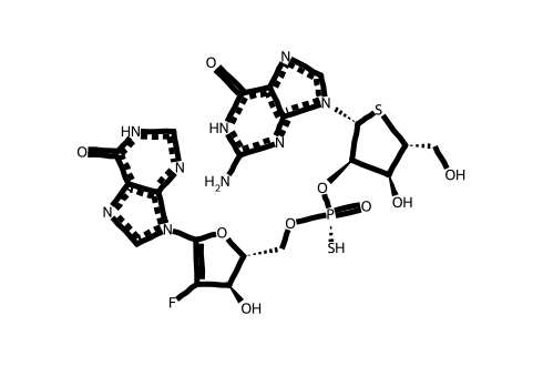 Nc1nc2c(ncn2[C@@H]2S[C@H](CO)[C@@H](O)[C@H]2O[P@](=O)(S)OC[C@H]2OC(n3cnc4c(=O)[nH]cnc43)=C(F)[C@@H]2O)c(=O)[nH]1